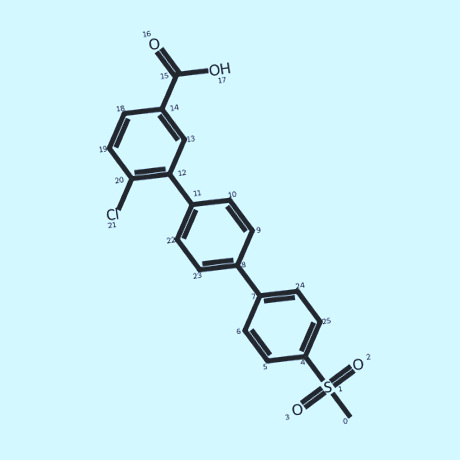 CS(=O)(=O)c1ccc(-c2ccc(-c3cc(C(=O)O)ccc3Cl)cc2)cc1